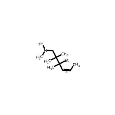 C/C=C\C(C)(CC)C(C)(C)CN(C)C(C)C